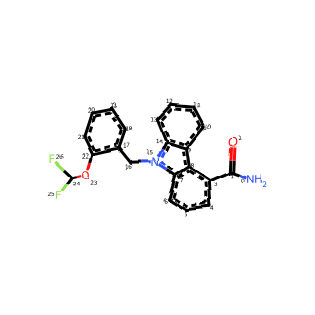 NC(=O)c1cccc2c1c1[c]cccc1n2Cc1ccccc1OC(F)F